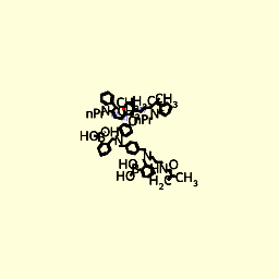 C=C(C)C(=O)NCCCN(Cc1ccc(CN(Cc2ccccc2B(O)O)c2ccc(OC3=C(/C=C/C4=[N+](CCC)c5ccccc5C4(C)C)CCC/C3=C\C=C3\N(CCC)c4ccccc4C3(C)C)cc2)cc1)Cc1ccccc1B(O)O